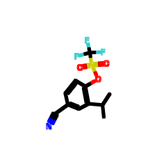 CC(C)c1cc(C#N)ccc1OS(=O)(=O)C(F)(F)F